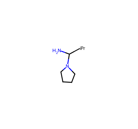 CC(C)C(N)N1CCCC1